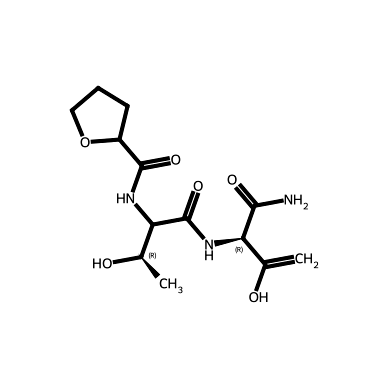 C=C(O)[C@@H](NC(=O)C(NC(=O)C1CCCO1)[C@@H](C)O)C(N)=O